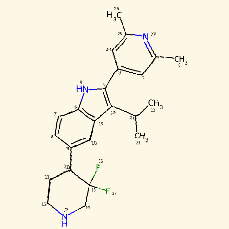 Cc1cc(-c2[nH]c3ccc(C4CCNCC4(F)F)cc3c2C(C)C)cc(C)n1